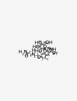 Cc1cc(OCCNCCC(N)=O)ccc1Cc1c(O[C@@H]2O[C@H](CO)[C@@H](O)[C@H](O)[C@H]2O)n[nH]c1C(C)C